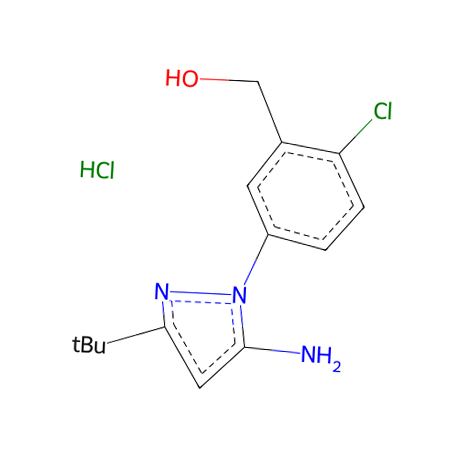 CC(C)(C)c1cc(N)n(-c2ccc(Cl)c(CO)c2)n1.Cl